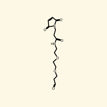 O=CCCOCCOCCNC(=O)CCN1C(=O)C=CC1=O